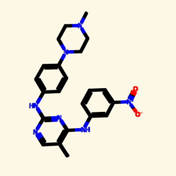 Cc1cnc(Nc2ccc(N3CCN(C)CC3)cc2)nc1Nc1cccc([N+](=O)[O-])c1